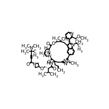 C=CCC1(NC(=O)[C@@H](COC2CN(C(=O)C#CC(C)(C)N(C)C)C2)C(C)C)Cc2nc(n(C)n2)-c2ccc3c(c2)c(c(-c2cccnc2[C@H](C)OC)n3CC)CC(C)(C)COC(=O)[C@@H]2CCCN(C1=O)N2C